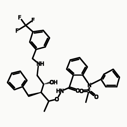 CC(ONC(=O)c1ccccc1N(c1ccccc1)S(C)(=O)=O)[C@@H](Cc1ccccc1)[C@@H](O)CNCc1cccc(C(F)(F)F)c1